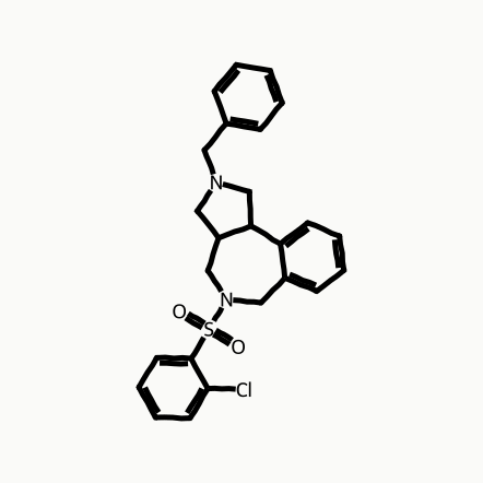 O=S(=O)(c1ccccc1Cl)N1Cc2ccccc2C2CN(Cc3ccccc3)CC2C1